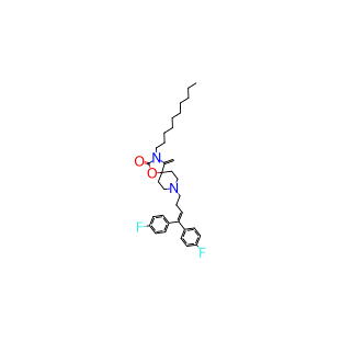 C=C1N(CCCCCCCCCC)C(=O)OC12CCN(CCC=C(c1ccc(F)cc1)c1ccc(F)cc1)CC2